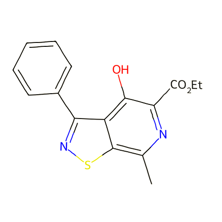 CCOC(=O)c1nc(C)c2snc(-c3ccccc3)c2c1O